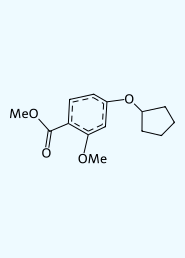 COC(=O)c1ccc(OC2CCCC2)cc1OC